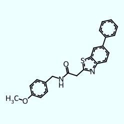 COc1ccc(CNC(=O)Cc2nc3ccc(-c4ccccc4)cc3s2)cc1